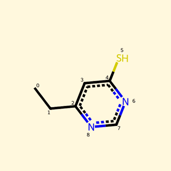 CCc1cc(S)ncn1